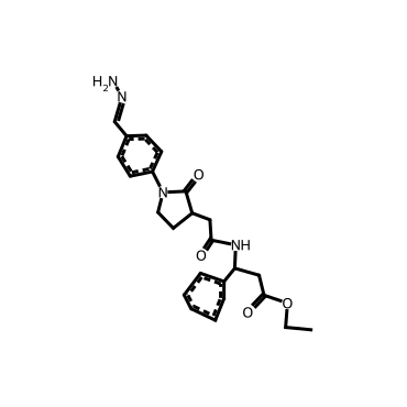 CCOC(=O)CC(NC(=O)CC1CCN(c2ccc(C=NN)cc2)C1=O)c1ccccc1